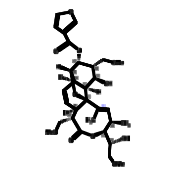 COC[C@@H]1[C@@H](O)[C@@H]2[C@H]3C=C[C@@H]4[C@@H](COC)C(=O)O[C@H]([C@H](O)COC)[C@H](C)/C=C(\C)[C@@]24O[C@H]3[C@@H]1OC(=O)c1ccoc1